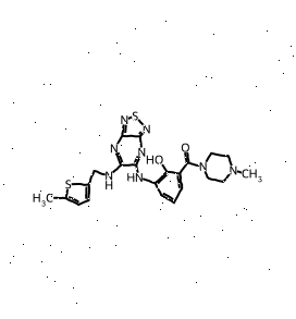 Cc1ccc(CNc2nc3nsnc3nc2Nc2cccc(C(=O)N3CCN(C)CC3)c2O)s1